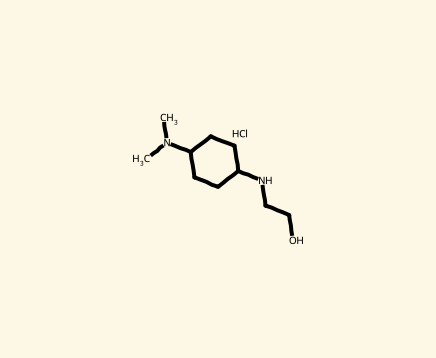 CN(C)C1CCC(NCCO)CC1.Cl